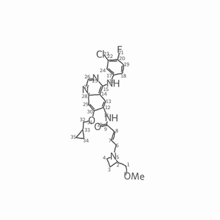 COCC1CCN1CC=CC(=O)Nc1cc2c(Nc3ccc(F)c(Cl)c3)ncnc2cc1OCC1CC1